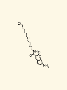 Nc1ccc2cc(C(=O)NCCOCCOCCCCCCCl)c(=O)oc2c1